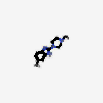 CN1CCN(c2nc3ccc(C(F)(F)F)cc3[nH]2)CC1